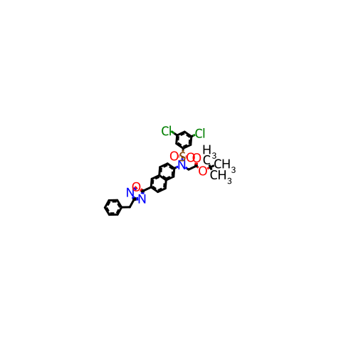 CC(C)(C)OC(=O)CN(c1ccc2cc(-c3nc(Cc4ccccc4)no3)ccc2c1)S(=O)(=O)c1cc(Cl)cc(Cl)c1